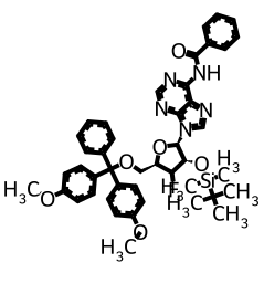 COc1ccc(C(OC[C@H]2O[C@@H](n3cnc4c(NC(=O)c5ccccc5)ncnc43)[C@H](O[Si](C)(C)C(C)(C)C)C2F)(c2ccccc2)c2ccc(OC)cc2)cc1